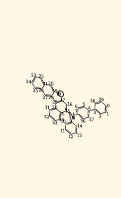 c1ccc(-c2ccc(N(c3ccccc3)c3cc4oc5cc6ccccc6cc5c4c4ccccc34)cc2)cc1